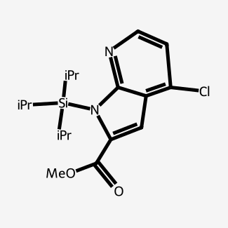 COC(=O)c1cc2c(Cl)ccnc2n1[Si](C(C)C)(C(C)C)C(C)C